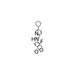 O=C1OCc2c1ccc(NCc1ccc(C3CCCCC3)cn1)c2F